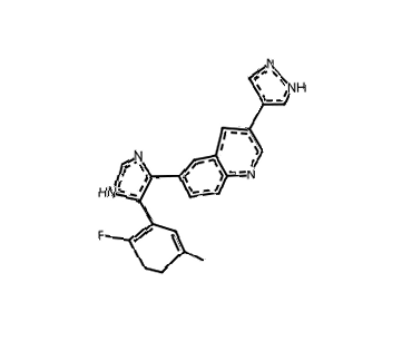 CC1=CC(c2[nH]cnc2-c2ccc3ncc(-c4cn[nH]c4)cc3c2)=C(F)CC1